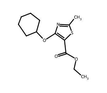 CCOC(=O)c1sc(C)nc1OC1CCCCC1